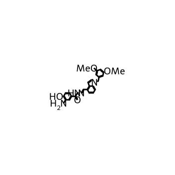 COc1cc(Cn2ccc3c(/C=N/NC(=O)c4ccc(O)c(N)c4)cccc32)cc(OC)c1